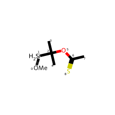 CO[SiH2]C(C)(C)OC(C)=S